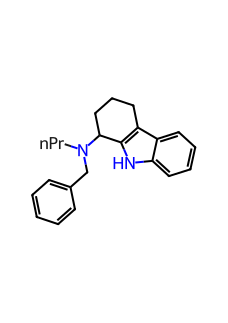 CCCN(Cc1ccccc1)C1CCCc2c1[nH]c1ccccc21